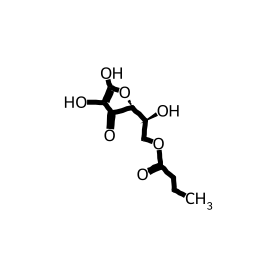 CCCC(=O)OC[C@H](O)[C@H]1OC(O)=C(O)C1=O